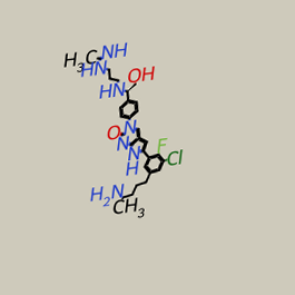 CC(=N)NCCCN[C@@H](CO)c1ccc(-n2cc3cc(-c4cc(CCC[C@H](C)N)cc(Cl)c4F)[nH]c3nc2=O)cc1